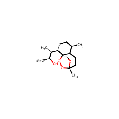 CO[C@H](O)[C@H](C)[C@@H]1CC[C@@H](C)C2CC[C@@]3(C)OC[C@@]21OO3